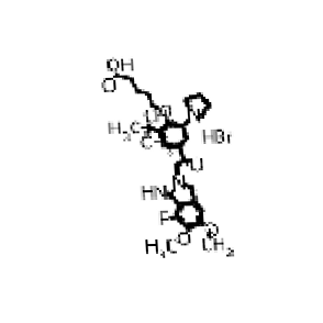 Br.COc1cc2c(c(F)c1OC)C(=N)N(CC(=O)c1cc(N3CCCC3)c(OCCCCC(=O)O)c(C(C)(C)C)c1)C2